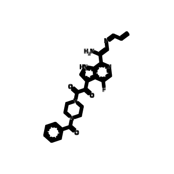 C=C/C=N\C=C(/N)c1ncc(F)c2c(C(=O)C(=O)N3CCN(C(=O)c4ccccc4)CC3)c[nH]c12